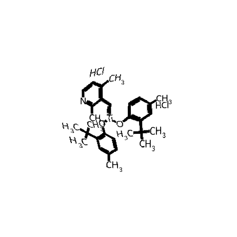 Cc1ccc([O][Ti](=[CH]c2c(C)ccnc2C)[O]c2ccc(C)cc2C(C)(C)C)c(C(C)(C)C)c1.Cl.Cl